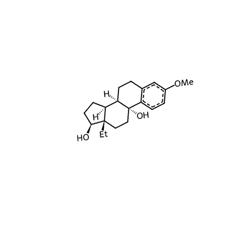 CC[C@]12CC[C@]3(O)c4ccc(OC)cc4CC[C@@H]3[C@@H]1CC[C@@H]2O